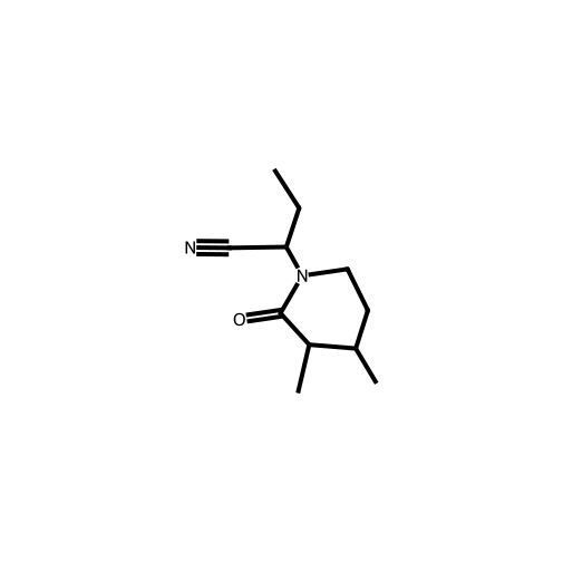 CCC(C#N)N1CCC(C)C(C)C1=O